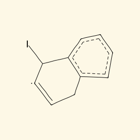 IC1[C]=CCc2ccccc21